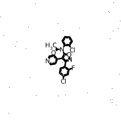 CC(=O)N(c1ccccc1Cl)c1onc(-c2ccc(Cl)cc2F)c1-c1ccncc1